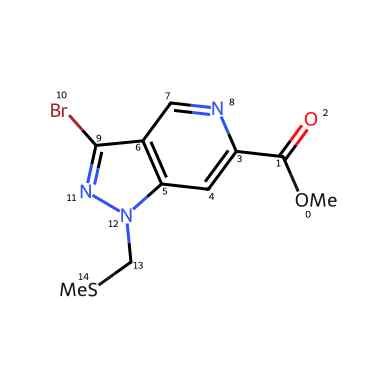 COC(=O)c1cc2c(cn1)c(Br)nn2CSC